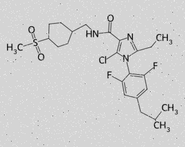 CCc1nc(C(=O)NCC2CCC(S(C)(=O)=O)CC2)c(Cl)n1-c1c(F)cc(CC(C)C)cc1F